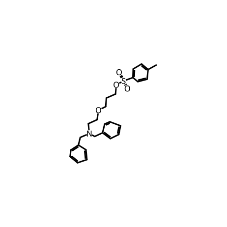 Cc1ccc(S(=O)(=O)OCCCOCCN(Cc2ccccc2)Cc2ccccc2)cc1